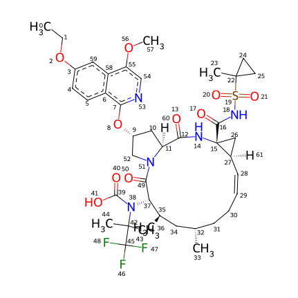 CCOc1ccc2c(O[C@@H]3C[C@H]4C(=O)N[C@]5(C(=O)NS(=O)(=O)C6(C)CC6)C[C@H]5C=CCC[C@H](C)C[C@@H](C)[C@H](N(C(=O)O)C(C)(C)C(F)(F)F)C(=O)N4C3)ncc(OC)c2c1